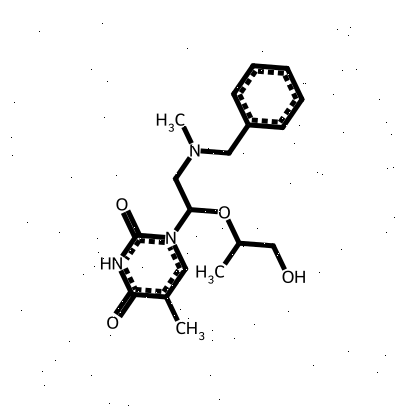 Cc1cn(C(CN(C)Cc2ccccc2)OC(C)CO)c(=O)[nH]c1=O